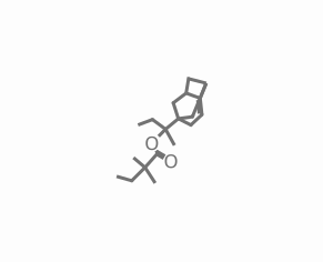 CCC(C)(C)C(=O)OC(C)(CC)C12CC=C3C(CC3C1)C2